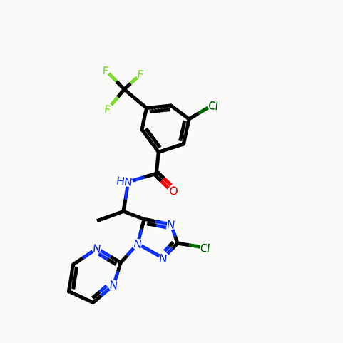 CC(NC(=O)c1cc(Cl)cc(C(F)(F)F)c1)c1nc(Cl)nn1-c1ncccn1